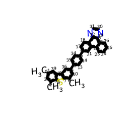 Cc1cc(C)c2sc3c(C)cc(-c4ccc(-c5ccc6c(c5)c5ccccc5c5nccnc65)cc4)cc3c2c1